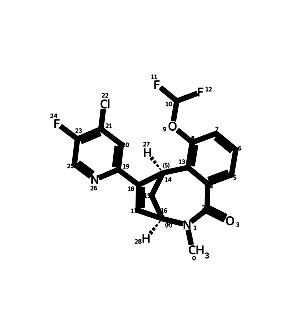 CN1C(=O)c2cccc(OC(F)F)c2[C@H]2C[C@@H]1C=C2c1cc(Cl)c(F)cn1